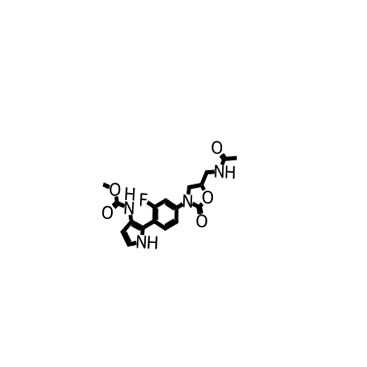 COC(=O)Nc1cc[nH]c1-c1ccc(N2CC(CNC(C)=O)OC2=O)cc1F